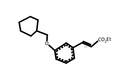 CCOC(=O)/C=C/c1cccc(OCC2CCCCC2)c1